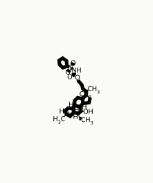 CC[C@H]1[C@@H](O)[C@@H]2[C@H](CC[C@]3(C)[C@@H]([C@H](C)CCCOC(=O)NS(=O)(=O)C4CCCCC4)CC[C@@H]23)[C@@]2(C)CC[C@@H](C)C[C@@H]12